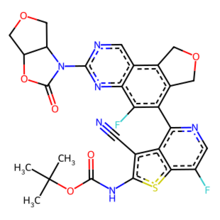 CC(C)(C)OC(=O)Nc1sc2c(F)cnc(-c3c4c(c5cnc(N6C(=O)OC7COCC76)nc5c3F)COC4)c2c1C#N